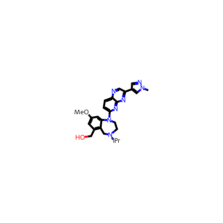 COc1cc(CO)c2c(c1)N(c1ccc3ncc(-c4cnn(C)c4)nc3n1)CCN(C(C)C)C2